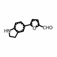 O=Cc1ccc(-c2ccc3c(c2)CCN3)o1